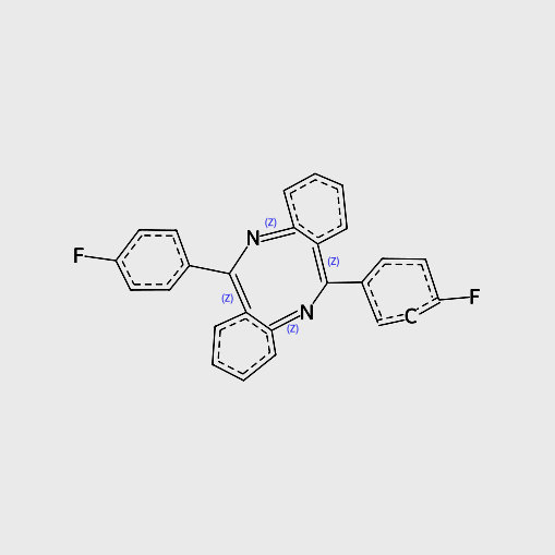 Fc1ccc(C2=c3\cccc\c3=N\C(c3ccc(F)cc3)=c3\cccc\c3=N\2)cc1